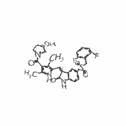 Cc1[nH]c(/C=C2\C(=O)Nc3ccc(S(=O)(=O)Cc4c(F)cccc4F)cc32)c(C)c1C(=O)N1CC[C@@H](O)C1